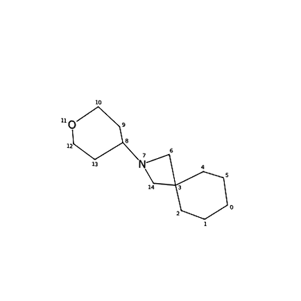 C1CCC2(CC1)CN(C1CCOCC1)C2